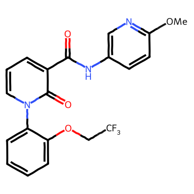 COc1ccc(NC(=O)c2cccn(-c3ccccc3OCC(F)(F)F)c2=O)cn1